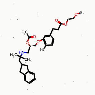 CCOCCOC(=O)CCc1ccc(C#N)c(OC[C@@H](CNC(C)(C)CC2Cc3ccccc3C2)OC(=O)C(F)(F)F)c1